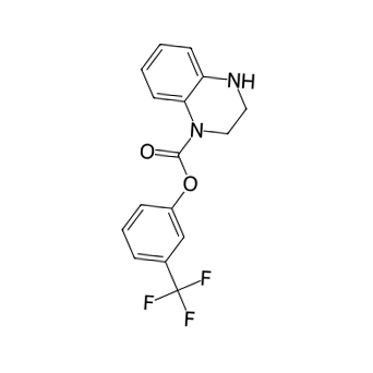 O=C(Oc1cccc(C(F)(F)F)c1)N1CCNc2ccccc21